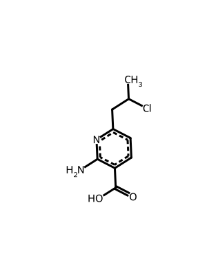 CC(Cl)Cc1ccc(C(=O)O)c(N)n1